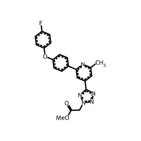 COC(=O)Cn1nnc(-c2cc(C)nc(-c3ccc(Oc4ccc(F)cc4)cc3)c2)n1